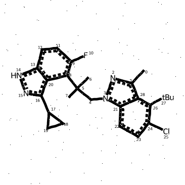 Cc1nn(CC(C)(C)c2c(F)ccc3[nH]nc(C4CC4)c23)c2ccc(Cl)c(C(C)(C)C)c12